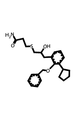 NC(=O)CCSCC(O)Cc1cccc(C2CCCC2)c1OCc1ccccc1